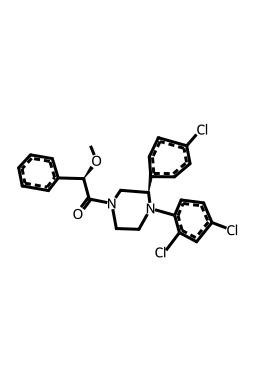 CO[C@@H](C(=O)N1CCN(c2ccc(Cl)cc2Cl)[C@H](c2ccc(Cl)cc2)C1)c1ccccc1